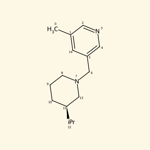 Cc1cncc(CN2CCC[C@H](C(C)C)C2)c1